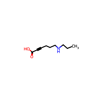 CCCNCCCC#CC(=O)O